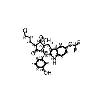 C[C@@]12Cc3c([nH]c4ccc(OC(F)F)cc34)[C@@H](c3cccc(O)c3)N1C(=O)N(CCCCl)C2=O